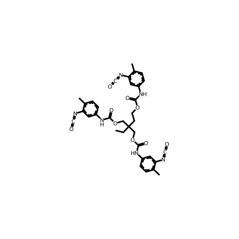 CCC(CCOC(=O)Nc1ccc(C)c(N=C=O)c1)(COC(=O)Nc1ccc(C)c(N=C=O)c1)COC(=O)Nc1ccc(C)c(N=C=O)c1